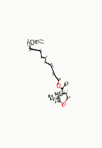 CCCCCCCCCCCCCCCCCCOC(CC)[SiH]1CCO[SiH2][SiH2]1